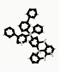 c1ccc(-c2cccc([Si](c3ccccc3)(c3cccc(-c4ccccc4)c3)c3ccc4c(c3)Oc3ccnc5c3B4c3ccccc3O5)c2)cc1